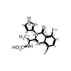 CC(NC(=O)O)c1nc2c(F)ccc(F)c2c(=O)n1-c1cc[nH]n1